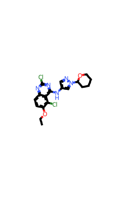 CCOc1ccc2nc(Cl)nc(Nc3cnn(C4CCCCO4)c3)c2c1Cl